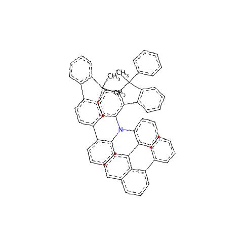 CC1(C)c2ccccc2-c2ccc(-c3ccccc3N(c3ccccc3-c3cccc4cccc(-c5ccccc5)c34)c3cccc4c3-c3ccccc3C4(C)c3ccccc3)cc21